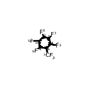 Fc1c(F)c(F)c(C(F)(F)F)c(F)c1F